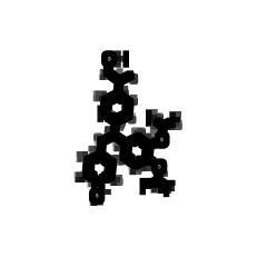 CC(CO)c1ccc(C(Cc2cc[n+]([O-])cc2)c2ccc(OC(F)F)c(OC(F)F)c2)nc1